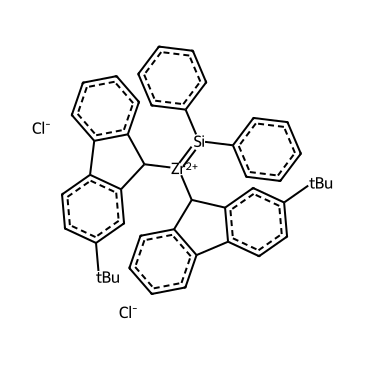 CC(C)(C)c1ccc2c(c1)[CH]([Zr+2]([CH]1c3ccccc3-c3ccc(C(C)(C)C)cc31)=[Si](c1ccccc1)c1ccccc1)c1ccccc1-2.[Cl-].[Cl-]